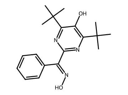 CC(C)(C)c1nc(C(=NO)c2ccccc2)nc(C(C)(C)C)c1O